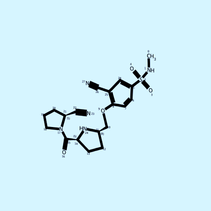 CNS(=O)(=O)c1ccc(OC[C@H]2CC[C@@H](C(=O)N3CCC[C@H]3C#N)N2)c(C#N)c1